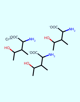 CC(O)C(C)C(N)C(=O)[O-].CC(O)C(C)C(N)C(=O)[O-].CC(O)C(C)C(N)C(=O)[O-].[Cr+3]